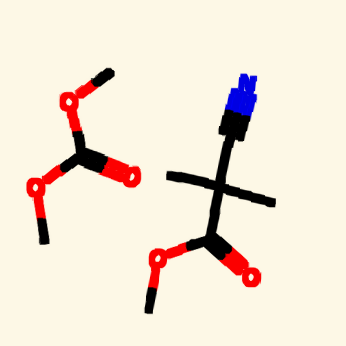 COC(=O)C(C)(C)C#N.COC(=O)OC